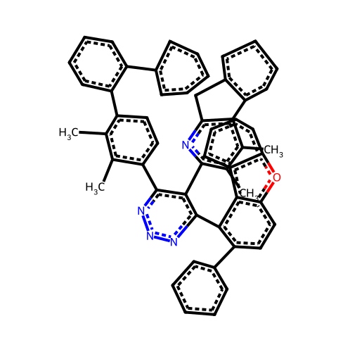 Cc1c(-c2ccccc2-c2ccccc2)ccc(-c2nnnc(-c3c(-c4ccccc4)ccc4oc5ccccc5c34)c2-c2nc3c(c(C)c2C)-c2ccccc2C3)c1C